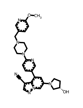 COc1ccc(CN2CCN(c3ccc(-c4cc(N5CC[C@H](O)C5)cn5ncc(C#N)c45)cn3)CC2)cn1